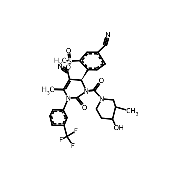 CC1=C(C#N)[C@@H](c2ccc(C#N)cc2S(C)(=O)=O)N(C(=O)N2CCC(O)C(C)C2)C(=O)N1c1cccc(C(F)(F)F)c1